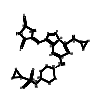 O=C1NC(=O)/C(=C/c2cnn3c(NC4CC4)nc(N[C@H]4CC[C@H](NS(=O)(=O)C5CC5)CC4)nc23)N1